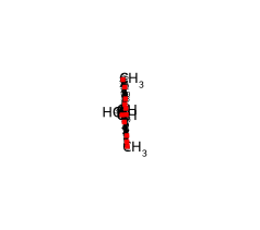 CCCCCCCCCCCCCOCCCCCCCCCCCCC.OP(O)O